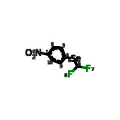 O=[N+]([O-])c1ccc([Se]C(F)F)cc1